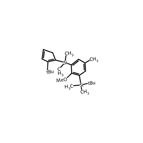 COc1c([Si](C)(C)C2=C(C(C)(C)C)C=CC2)cc(C)cc1[Si](C)(C)C(C)(C)C